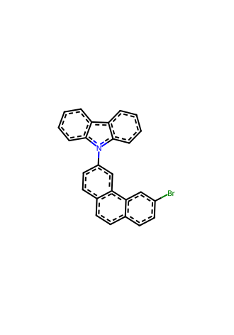 Brc1ccc2ccc3ccc(-n4c5ccccc5c5ccccc54)cc3c2c1